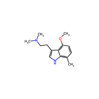 COc1ccc(C)c2[nH]cc(CCN(C)C)c12